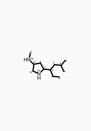 CCC(CC(C)C)C1CC(NC)CN1